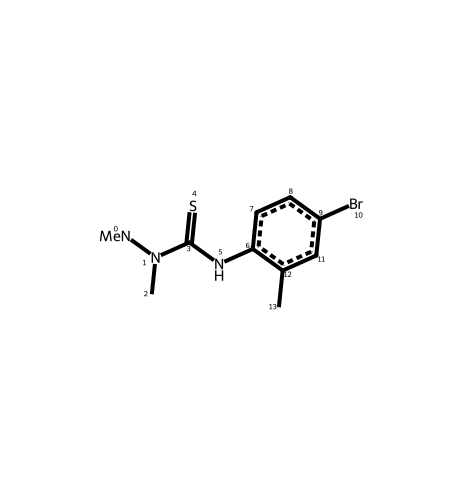 CNN(C)C(=S)Nc1ccc(Br)cc1C